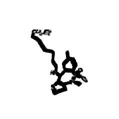 CCOC(=O)CCCCCCNC1c2cc(C)ccc2S(=O)(=O)N(C)c2ccsc21